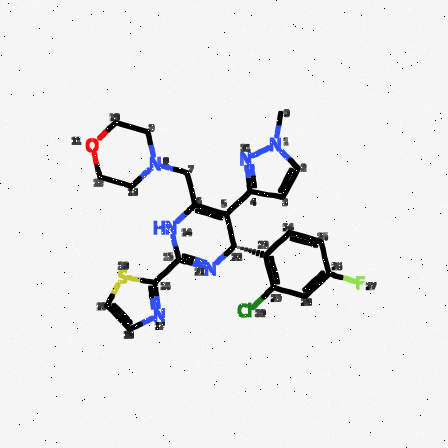 Cn1ccc(C2=C(CN3CCOCC3)NC(c3nccs3)=N[C@H]2c2ccc(F)cc2Cl)n1